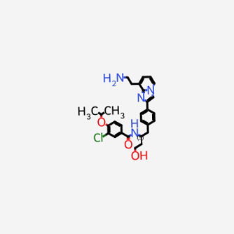 CC(C)Oc1ccc(C(=O)N[C@H](CCO)Cc2ccc(-c3cn4cccc(CCN)c4n3)cc2)cc1Cl